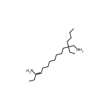 CCCCC(CC)(CN)CCCCCCC/C=C(\N)CC